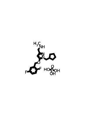 CNCc1cc(OCc2cc(F)ccc2F)n(CC2CCCC2)n1.O=P(O)(O)O